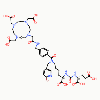 O=C(O)CC[C@@H](NC(=O)N[C@H](CCCCN(Cc1ccc(Br)nc1)C(=O)c1ccc(CNC(=O)CN2CCN(CC(=O)O)CCN(CC(=O)O)CCN(CC(=O)O)CC2)cc1)C(=O)O)C(=O)O